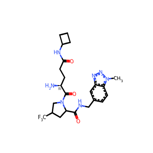 Cn1nnc2cc(CNC(=O)C3CC(C(F)(F)F)CN3C(=O)[C@@H](N)CCC(=O)NC3CCC3)ccc21